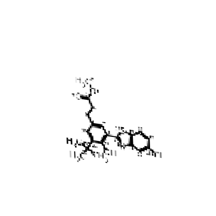 COC(=O)CCc1cc(-c2nc3cc(Cl)ccc3s2)c(O)c(C(C)(C)C)c1